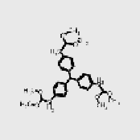 COC(OC)[SiH2]c1ccc(C(c2ccc([SiH2]C(OC)OC)cc2)c2ccc([SiH2]C(OC)OC)cc2)cc1